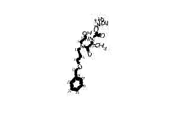 C[C@H](NC(=O)OC(C)(C)C)C(=O)N(CCO)CCCOCc1ccccc1